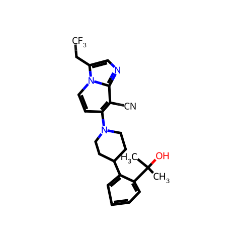 CC(C)(O)c1ccccc1C1CCN(c2ccn3c(CC(F)(F)F)cnc3c2C#N)CC1